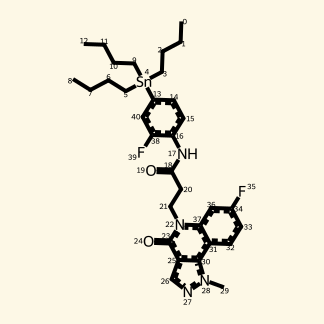 CCC[CH2][Sn]([CH2]CCC)([CH2]CCC)[c]1ccc(NC(=O)CCn2c(=O)c3cnn(C)c3c3ccc(F)cc32)c(F)c1